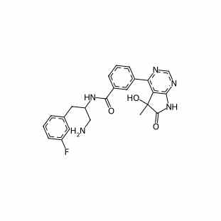 CC1(O)C(=O)Nc2ncnc(-c3cccc(C(=O)NC(CN)Cc4cccc(F)c4)c3)c21